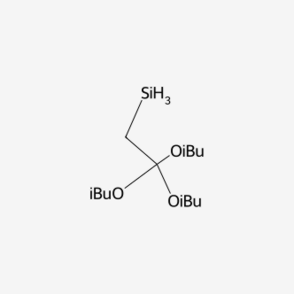 CC(C)COC(C[SiH3])(OCC(C)C)OCC(C)C